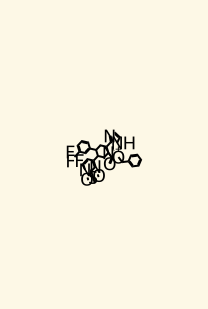 C[N+]1(C(=O)OCc2ccccc2)CC(c2ccnc(S(C)(=O)=O)n2)C(c2cccc(C(F)(F)F)c2)CC1c1ncc[nH]1